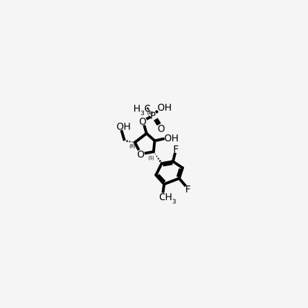 Cc1cc([C@@H]2O[C@H](CO)C(O[P@](C)(=O)O)C2O)c(F)cc1F